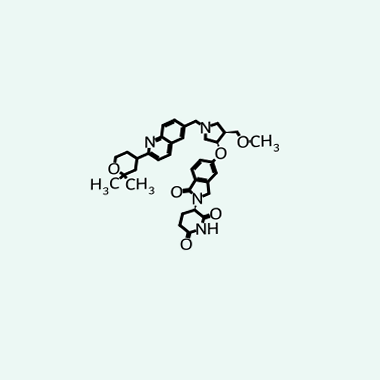 COC[C@@H]1CN(Cc2ccc3nc(C4CCOC(C)(C)C4)ccc3c2)C[C@H]1Oc1ccc2c(c1)CN([C@H]1CCC(=O)NC1=O)C2=O